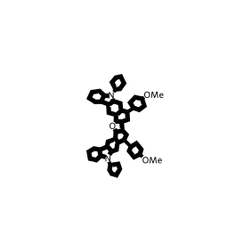 COc1ccc(-c2cc3c4cc(-c5ccc(OC)cc5)c5cc6c(cc5c4oc3c3cc4c5ccccc5n(-c5ccccc5)c4cc23)c2ccccc2n6-c2ccccc2)cc1